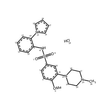 COc1ccc(S(=O)(=O)Nc2ccccc2-n2cccc2)cc1N1CCN(C)CC1.Cl